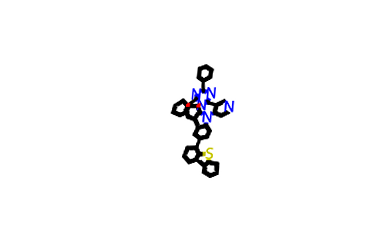 c1ccc(-c2nc(-c3ccccc3)nc(-c3cnccc3-n3c4ccccc4c4cc(-c5cccc6c5sc5ccccc56)ccc43)n2)cc1